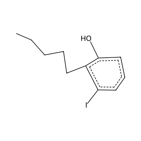 CCCCCc1c(O)cccc1I